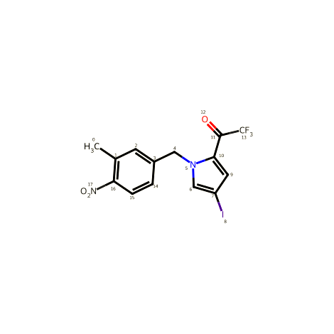 Cc1cc(Cn2cc(I)cc2C(=O)C(F)(F)F)ccc1[N+](=O)[O-]